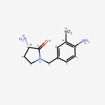 Nc1ccc(CN2CC[C@H](N)C2=O)cc1[N+](=O)[O-]